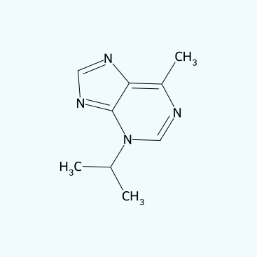 Cc1ncn(C(C)C)c2ncnc1-2